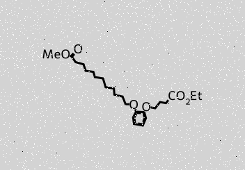 CCOC(=O)CCCOc1ccccc1OCCCCCCCCCCCC(=O)OC